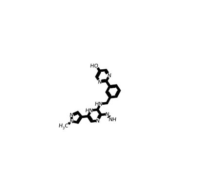 Cn1cc(C2=CN=C(N=N)C(NCc3cccc(-c4ncc(O)cn4)c3)N2)cn1